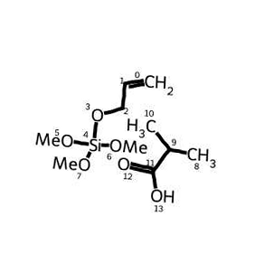 C=CCO[Si](OC)(OC)OC.CC(C)C(=O)O